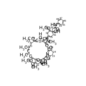 CCC1/C=C(\C)CC(C)CC(OC)C2OC(O)(C(=O)C(=O)N3CCCCC3C(=O)OC(C(C)=CC3CCC(O)(CC(=O)Nc4ccccc4)C(OC)C3)C(C)C(O)CC1=O)C(C)CC2OC